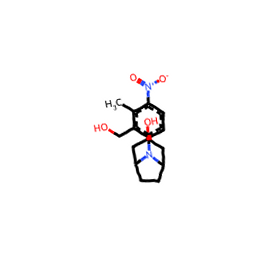 Cc1c([N+](=O)[O-])ccc(N2C3CCC2CC(O)C3)c1CO